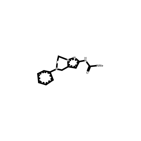 CNC(=O)Nc1cc2n(n1)CCN(c1ccccc1)C2